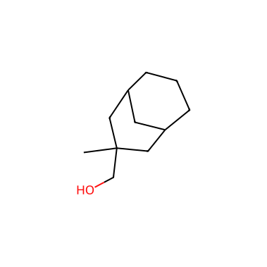 CC1(CO)CC2CCCC(C2)C1